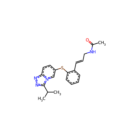 CC(=O)NC/C=C/c1ccccc1Sc1ccc2nnc(C(C)C)n2c1